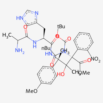 CCCCC(=O)N(C(=O)OC(C)(C)C)[C@@](C(=O)OC)(c1ccccc1[N+](=O)[O-])C(C)(O)[C@@](C)(NC(=O)[C@H](Cc1c[nH]cn1)NC(=O)C(C)N)c1ccc(OC)cc1